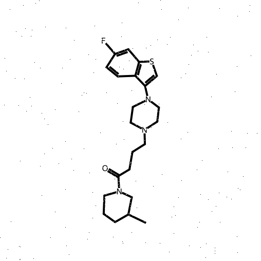 CC1CCCN(C(=O)CCCN2CCN(c3csc4cc(F)ccc34)CC2)C1